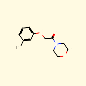 CC(C)(C)c1cccc(OCC(=O)N2CCOCC2)c1